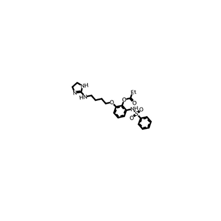 CCC(=O)Oc1c(NS(=O)(=O)c2ccccc2)cccc1OCCCCNC1=NCCN1